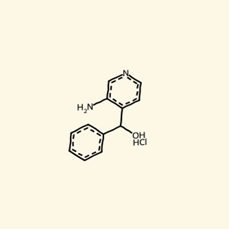 Cl.Nc1cnccc1C(O)c1ccccc1